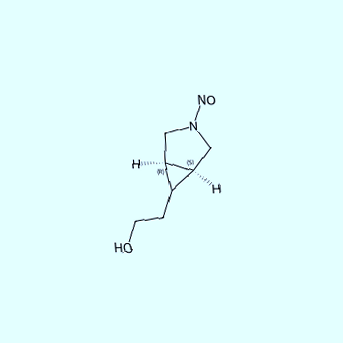 O=NN1C[C@@H]2C(CCO)[C@@H]2C1